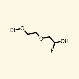 CCOCCOCC(O)F